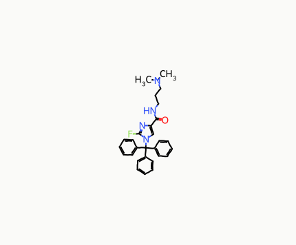 CN(C)CCCNC(=O)c1cn(C(c2ccccc2)(c2ccccc2)c2ccccc2)c(F)n1